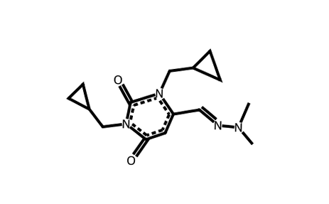 CN(C)N=Cc1cc(=O)n(CC2CC2)c(=O)n1CC1CC1